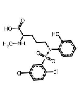 CNC(CCCN(c1ccccc1O)S(=O)(=O)c1cc(Cl)ccc1Cl)C(=O)O